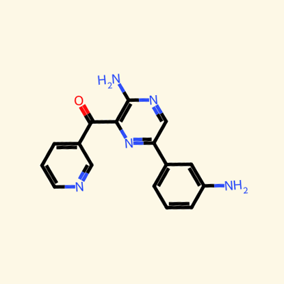 Nc1cccc(-c2cnc(N)c(C(=O)c3cccnc3)n2)c1